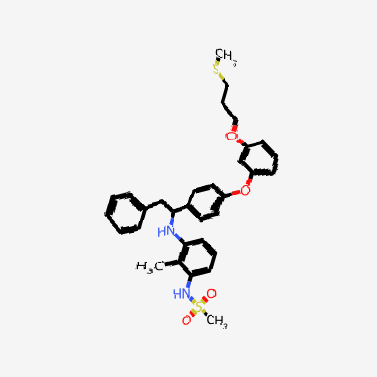 CSCCCOc1cccc(Oc2ccc(C(Cc3ccccc3)Nc3cccc(NS(C)(=O)=O)c3C)cc2)c1